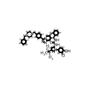 CC(C)(C)c1cc(NC(=O)NCc2ccccc2Sc2ccc3nnc(-c4ccc(CN5CCN(Cc6ccccc6)CC5)cc4)n3c2)n(-c2ccc(O)c(Cl)c2)n1